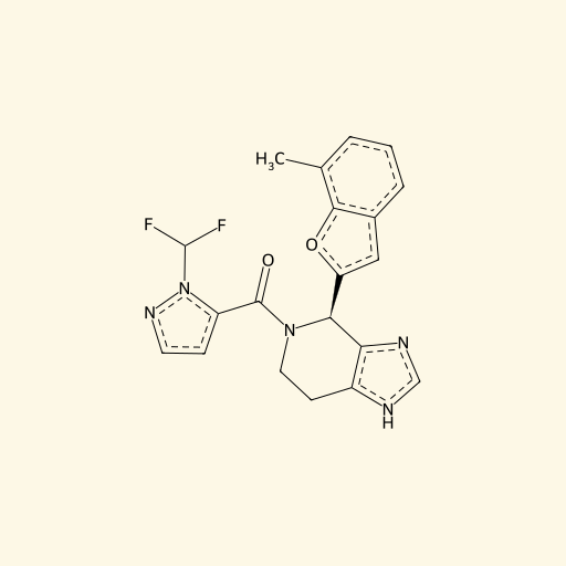 Cc1cccc2cc([C@H]3c4nc[nH]c4CCN3C(=O)c3ccnn3C(F)F)oc12